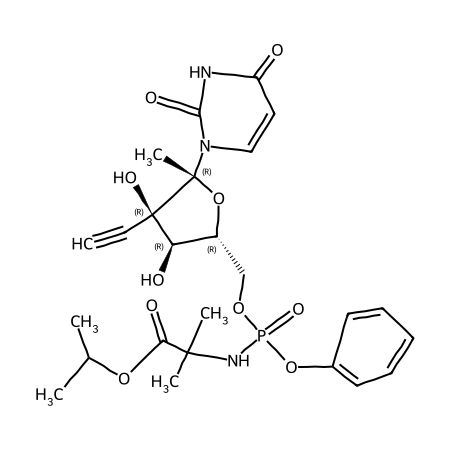 C#C[C@@]1(O)[C@H](O)[C@@H](COP(=O)(NC(C)(C)C(=O)OC(C)C)Oc2ccccc2)O[C@@]1(C)n1ccc(=O)[nH]c1=O